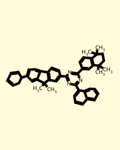 CC1(C)CCC(C)(C)c2cc(-c3nc(-c4ccc5c(c4)C(C)(C)c4cc(C6C=CC=CC6)ccc4-5)nc(-c4cccc5ccccc45)n3)ccc21